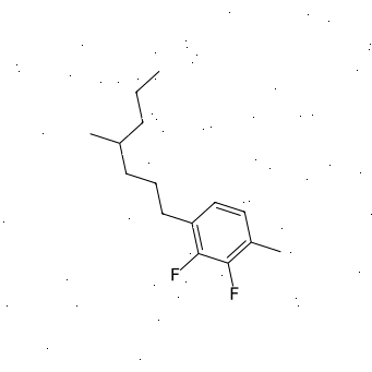 CCCC(C)CCCc1ccc(C)c(F)c1F